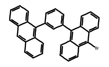 Brc1c2ccccc2c(-c2cccc(-c3c4ccccc4cc4ccccc34)c2)c2ccccc12